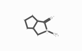 CN1CC2CCCC2C1=O